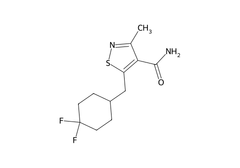 Cc1nsc(CC2CCC(F)(F)CC2)c1C(N)=O